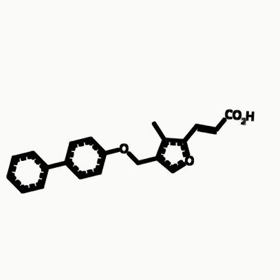 Cc1c(COc2ccc(-c3ccccc3)cc2)coc1C=CC(=O)O